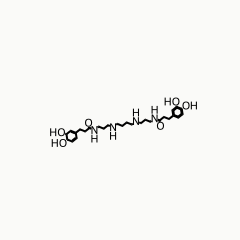 O=C(CCC1=CC(O)C(O)C=C1)NCCCNCCCCNCCCNC(=O)CCc1ccc(O)c(O)c1